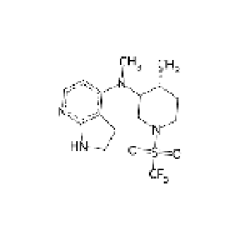 C[C@@H]1CCN(S(=O)(=O)C(F)(F)F)CC1N(C)c1ccnc2c1CCN2